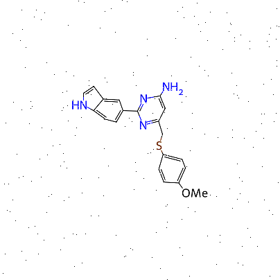 COc1ccc(SCc2cc(N)nc(-c3ccc4[nH]ccc4c3)n2)cc1